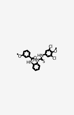 COc1cccc(C(=O)Nc2ccccc2NC(=S)Nc2cc(Cl)c(OC)c(Cl)c2)c1